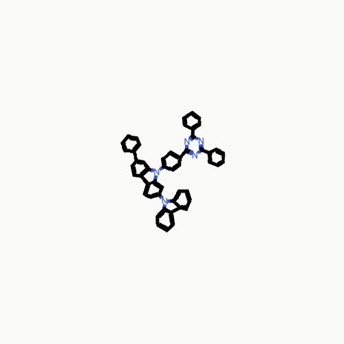 c1ccc(-c2ccc3c4ccc(-n5c6ccccc6c6ccccc65)cc4n(-c4ccc(-c5nc(-c6ccccc6)nc(-c6ccccc6)n5)cc4)c3c2)cc1